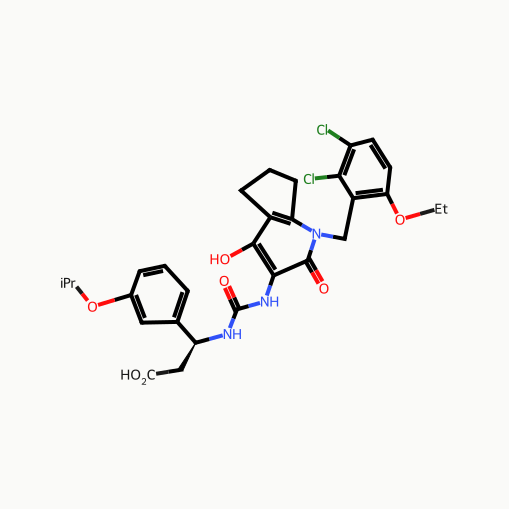 CCOc1ccc(Cl)c(Cl)c1Cn1c2c(c(O)c(NC(=O)N[C@@H](CC(=O)O)c3cccc(OC(C)C)c3)c1=O)CCC2